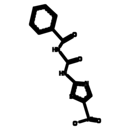 O=C(NC(=O)c1ccccc1)Nc1ncc([N+](=O)[O-])s1